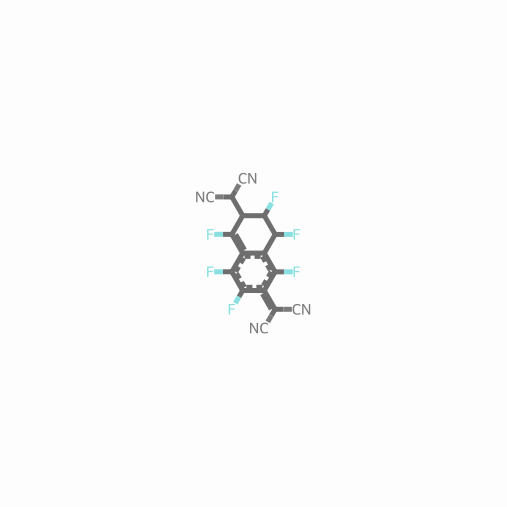 N#CC(C#N)=c1c(F)c(F)c2c(c1F)C(F)C(F)C(C(C#N)C#N)C=2F